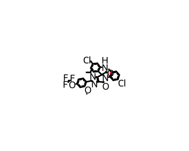 COc1cc(OC(F)(F)F)ccc1-c1nc2c(n1C(C)C)C1(C(=O)Nc3cc(Cl)ccc31)N(c1cc(Cl)ccc1C)C2=O